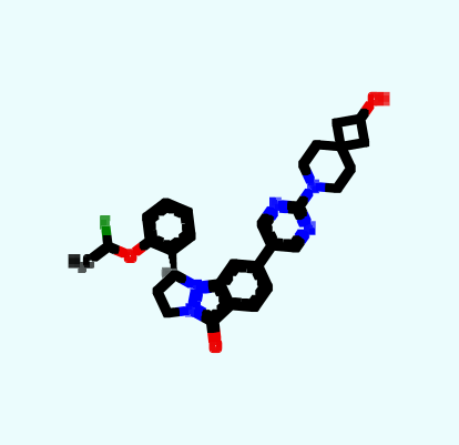 CC(F)Oc1ccccc1[C@H]1CCn2c(=O)c3ccc(-c4cnc(N5CCC6(CC5)CC(O)C6)nc4)cc3n21